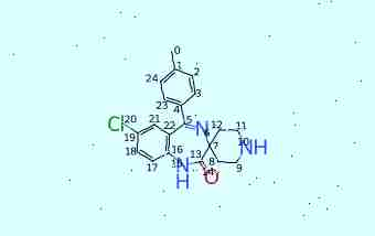 Cc1ccc(C2=NC3(CCNCC3)C(=O)Nc3ccc(Cl)cc32)cc1